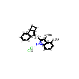 CC(C)(C)c1cccc2[nH][c]([Zr+2][C]3=C4CCC4c4ccccc43)c(C(C)(C)C)c12.[Cl-].[Cl-]